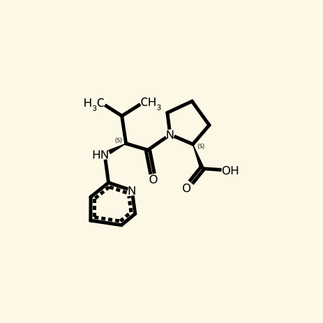 CC(C)[C@H](Nc1ccccn1)C(=O)N1CCC[C@H]1C(=O)O